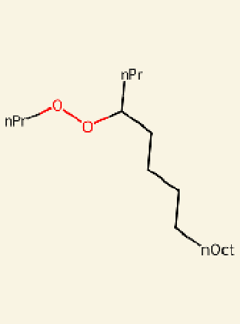 CCCCCCCCCCCCC(CCC)OOCCC